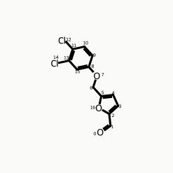 O=Cc1ccc(COc2ccc(Cl)c(Cl)c2)o1